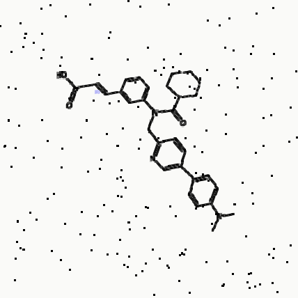 CN(C)c1ccc(-c2ccc(CN(C(=O)C3CCCCC3)c3cccc(/C=C/C(=O)O)c3)nc2)cc1